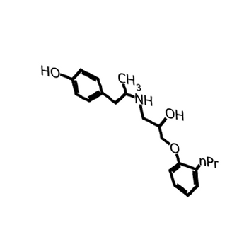 CCCc1ccccc1OCC(O)CNC(C)Cc1ccc(O)cc1